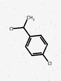 C[C](Cl)c1ccc(Cl)cc1